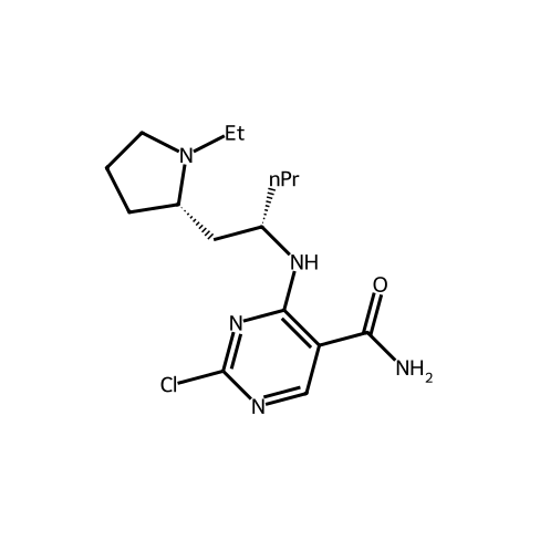 CCC[C@@H](C[C@@H]1CCCN1CC)Nc1nc(Cl)ncc1C(N)=O